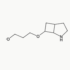 [O]CCCOC1CC2CCNC21